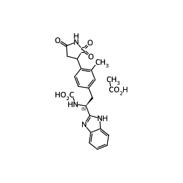 CC(=O)O.Cc1cc(C[C@H](NC(=O)O)c2nc3ccccc3[nH]2)ccc1C1CC(=O)NS1(=O)=O